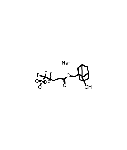 O=C(CCC(F)(F)C(F)(F)S(=O)(=O)[O-])OCC12CC3CC(CC(O)(C3)C1)C2.[Na+]